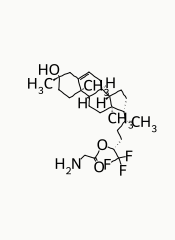 C[C@H](CC[C@@H](OC(=O)CN)C(F)(F)F)[C@H]1CC[C@H]2[C@@H]3CC=C4C[C@@](C)(O)CC[C@]4(C)[C@H]3CC[C@]12C